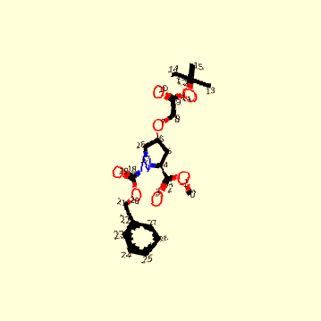 COC(=O)[C@@H]1C[C@@H](OCC(=O)OC(C)(C)C)CN1C(=O)OCc1ccccc1